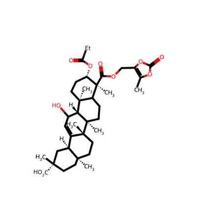 CCC(=O)O[C@H]1CC[C@@]2(C)C(CC[C@]3(C)[C@@H]2C(O)C=C2[C@@H]4C[C@@](C)(C(=O)O)CC[C@]4(C)CC[C@]23C)[C@]1(C)C(=O)OCc1oc(=O)oc1C